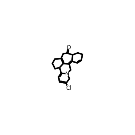 O=C1CC2=C3C(=C4C=CCCC14)CN1CC(Cl)=CC=C1C3CCC2